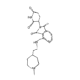 CN1CCC(CCNc2cccc3c2C(=O)N(C2CCC(=O)NC2=O)C3=O)CC1